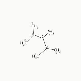 CC(C)N(P)C(C)C